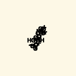 CCOc1cc(C(Nc2ccc3c(N(OC(C)(C)C)C(=O)OC(C)(C)C)nccc3c2)C(=O)O)c(F)cc1OC